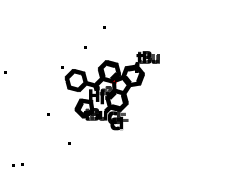 CC(C)(C)c1ccc2c(c1)Cc1c-2ccc(C(C)(C)C)[c]1[Hf+2](=[C](c1ccccc1)C1CCCCC1)[CH]1C=CC=C1.[Cl-].[Cl-]